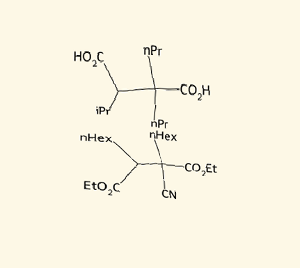 CCCC(CCC)(C(=O)O)C(C(=O)O)C(C)C.CCCCCCC(C(=O)OCC)C(C#N)(CCCCCC)C(=O)OCC